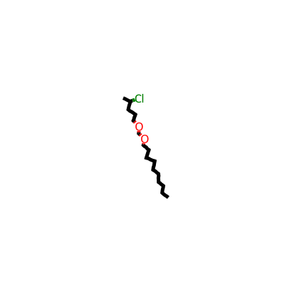 CCCCCCCCCCOCOCCCC(C)Cl